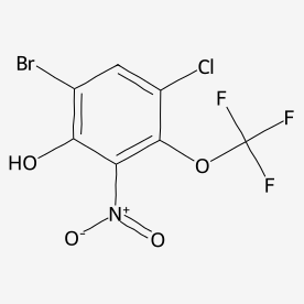 O=[N+]([O-])c1c(O)c(Br)cc(Cl)c1OC(F)(F)F